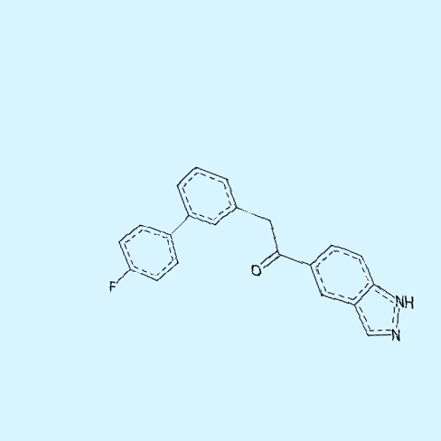 O=C(Cc1cccc(-c2ccc(F)cc2)c1)c1ccc2[nH]ncc2c1